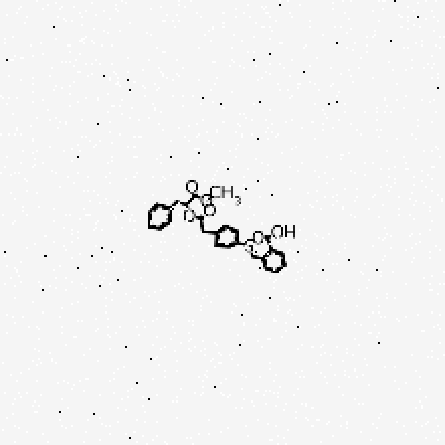 COC(=O)C(Cc1ccccc1)OC(=O)Cc1ccc(SCc2ccccc2C(=O)O)cc1